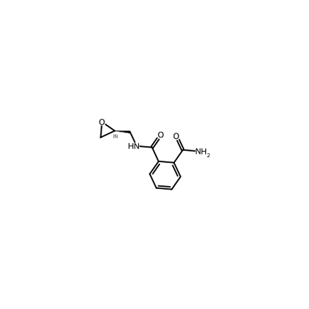 NC(=O)c1ccccc1C(=O)NC[C@H]1CO1